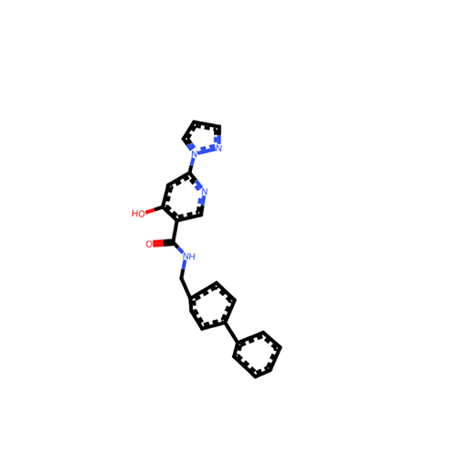 O=C(NCc1ccc(-c2ccccc2)cc1)c1cnc(-n2cccn2)cc1O